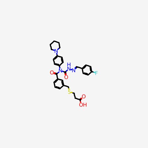 O=C(O)CCSCc1cccc(C(=O)N(C(=O)NN=Cc2ccc(F)cc2)c2ccc(N3CCCCC3)cc2)c1